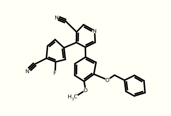 COc1ccc(-c2cncc(C#N)c2-c2ccc(C#N)c(F)c2)cc1OCc1ccccc1